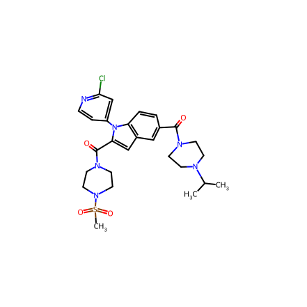 CC(C)N1CCN(C(=O)c2ccc3c(c2)cc(C(=O)N2CCN(S(C)(=O)=O)CC2)n3-c2ccnc(Cl)c2)CC1